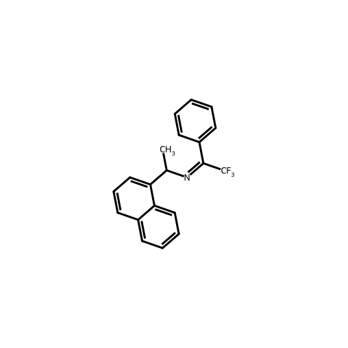 CC(/N=C(\c1ccccc1)C(F)(F)F)c1cccc2ccccc12